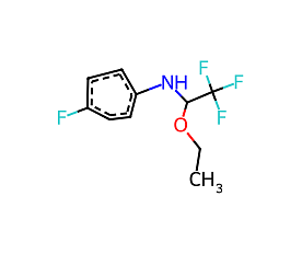 CCOC(Nc1ccc(F)cc1)C(F)(F)F